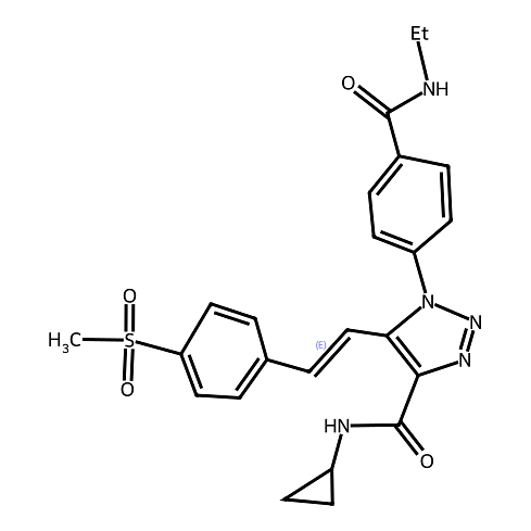 CCNC(=O)c1ccc(-n2nnc(C(=O)NC3CC3)c2/C=C/c2ccc(S(C)(=O)=O)cc2)cc1